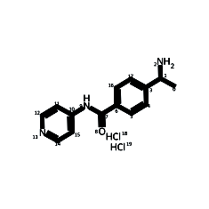 CC(N)c1ccc(C(=O)Nc2ccncc2)cc1.Cl.Cl